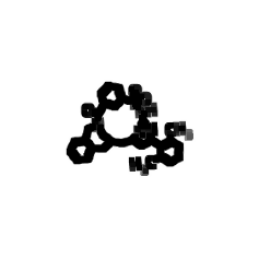 Cc1cccc(C)c1-c1cc2nc(n1)NS(=O)(=O)c1cccc(c1)C(=O)N1Cc3ccccc3CC(C2)C1